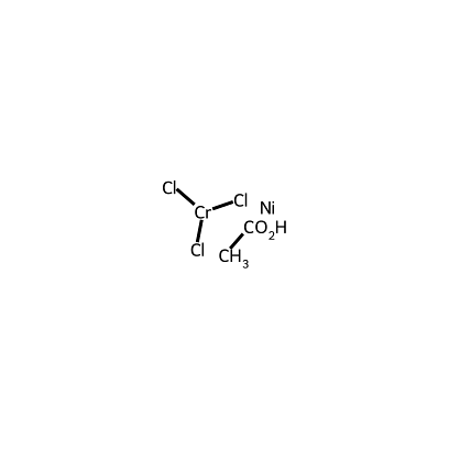 CC(=O)O.[Cl][Cr]([Cl])[Cl].[Ni]